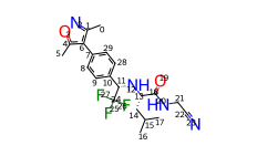 Cc1noc(C)c1-c1ccc([C@H](N[C@@H](CC(C)C)C(=O)NCC#N)C(F)(F)F)cc1